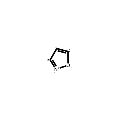 [C]1=CC=[N+]O1